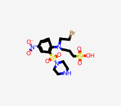 O=[N+]([O-])c1ccc(N(CCBr)CCCS(=O)(=O)O)c(S(=O)(=O)N2CCNCC2)c1